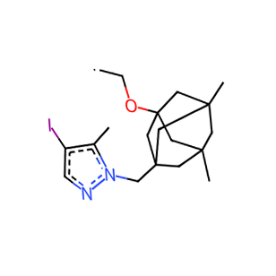 [CH2]COC12CC3(C)CC(C)(CC(Cn4ncc(I)c4C)(C3)C1)C2